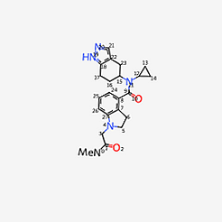 CNC(=O)CN1CCc2c(C(=O)N(C3CC3)C3CCc4[nH]ncc4C3)cccc21